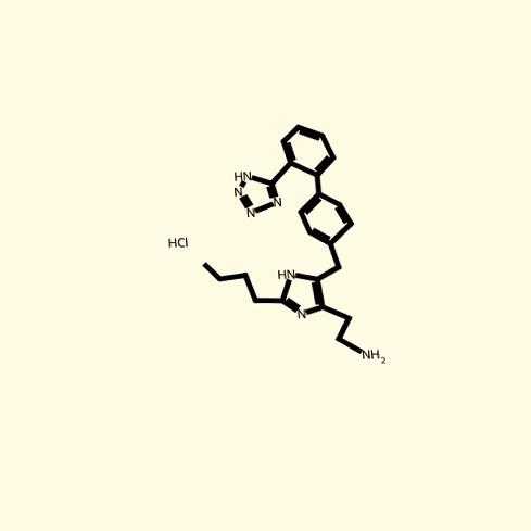 CCCCc1nc(CCN)c(Cc2ccc(-c3ccccc3-c3nnn[nH]3)cc2)[nH]1.Cl